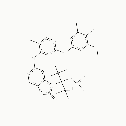 COc1cc(Nc2ncc(C)c(Nc3ccc4oc(=O)n(C(OP(=O)(O)O)(C(C)(C)C)C(C)(C)C)c4c3)n2)cc(C)c1F